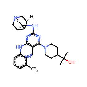 CC(C)(O)C1CCN(c2nc(N[C@@H]3CN4CCC3CC4)nc(Nc3cccc(C(F)(F)F)c3)c2C=N)CC1